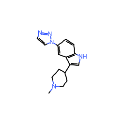 CN1CCC(c2c[nH]c3ccc(-n4ccnn4)cc23)CC1